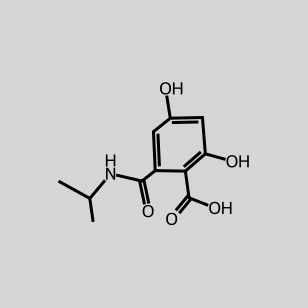 CC(C)NC(=O)c1cc(O)cc(O)c1C(=O)O